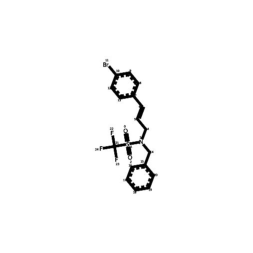 O=S(=O)(N(CC=Cc1ccc(Br)cc1)Cc1ccccc1)C(F)(F)F